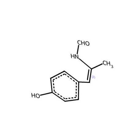 C/C(=C/c1ccc(O)cc1)NC=O